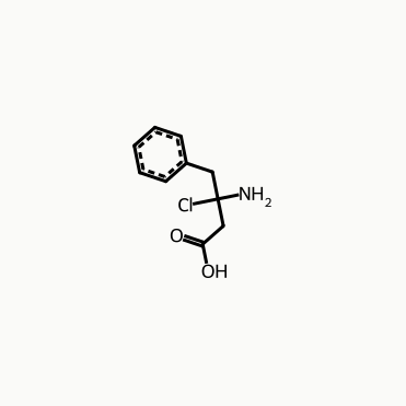 NC(Cl)(CC(=O)O)Cc1ccccc1